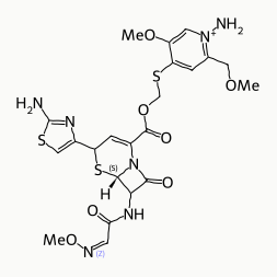 COCc1cc(SCOC(=O)C2=CC(c3csc(N)n3)S[C@H]3C(NC(=O)/C=N\OC)C(=O)N23)c(OC)c[n+]1N